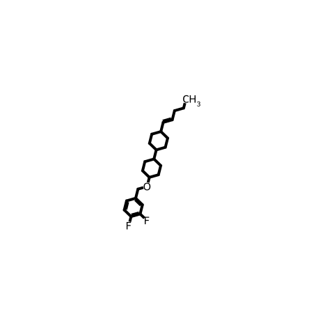 CCCC=CC1CCC(C2CCC(OCc3ccc(F)c(F)c3)CC2)CC1